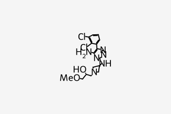 COC[C@@H](O)CN1CC(Nc2nnc(-c3cccc(Cl)c3Cl)c(N)n2)C1